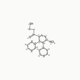 O=C(CSS)c1ccc([N+](=O)[O-])c(-c2ccccc2)c1-c1ccccc1